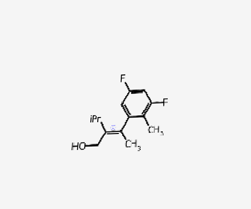 C/C(=C(\CO)C(C)C)c1cc(F)cc(F)c1C